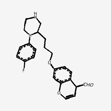 O=CC1C=COc2cc(OCCCC3CNCCN3c3ccc(F)cc3)ccc21